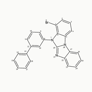 Brc1cccc2c1n(-c1cccc(-c3ccccc3)c1)c1nc3ccccc3n21